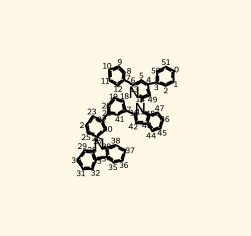 c1ccc(-c2cc(-c3ccccc3)nc(-n3c(-c4cccc(-c5cccc(-n6c7ccccc7c7ccccc76)c5)c4)cc4ccccc43)c2)cc1